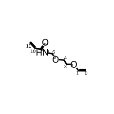 C=COCCOCNC(=O)C=C